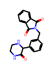 O=C1NCCNC1c1cccc(CN2C(=O)c3ccccc3C2=O)c1